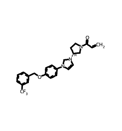 C=CC(=O)N1CC[C@@H](N2C=CN(c3ccc(OCc4cccc(C(F)(F)F)c4)cc3)C2)C1